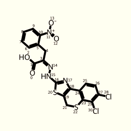 O=C(O)/C(Cc1ccccc1[N+](=O)[O-])=N\Nc1nc2c(s1)CSc1c-2ccc(Cl)c1Cl